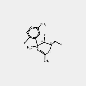 CC1=N[C@](C)(c2cc(N)ccc2F)[C@@H](F)[C@@H](CF)O1